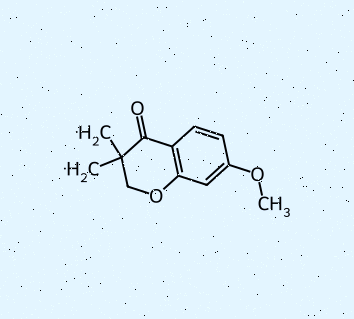 [CH2]C1([CH2])COc2cc(OC)ccc2C1=O